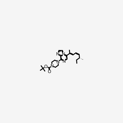 CC[C@@H](C)/C=C\C=C(/C)c1cnc(N2CCN(C(=O)OC(C)(C)C)CC2)c2nccn12